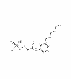 CCCCCCc1cccc(NC(=O)CCCP(=O)(O)O)c1